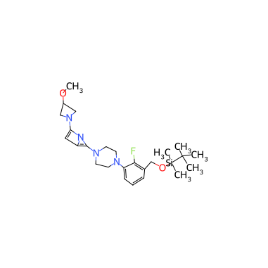 COC1CN(c2cc3c(N4CCN(c5cccc(CO[Si](C)(C)C(C)(C)C)c5F)CC4)n2-3)C1